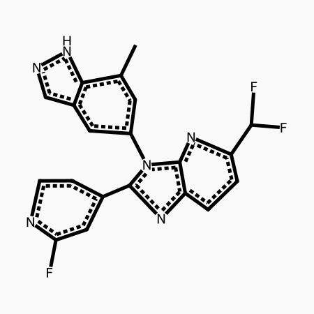 Cc1cc(-n2c(-c3ccnc(F)c3)nc3ccc(C(F)F)nc32)cc2cn[nH]c12